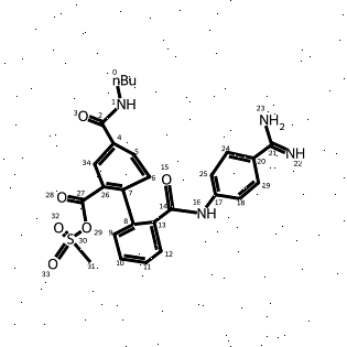 CCCCNC(=O)c1ccc(-c2ccccc2C(=O)Nc2ccc(C(=N)N)cc2)c(C(=O)OS(C)(=O)=O)c1